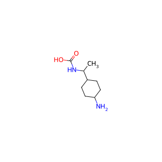 CC(NC(=O)O)C1CCC(N)CC1